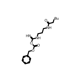 CCC(C)CC(=O)NCCCNC(=N)OC(=O)OCc1ccccc1